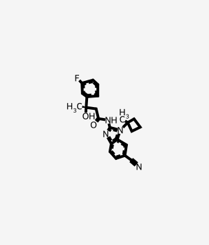 CC1(n2c(NC(=O)C[C@](C)(O)c3cccc(F)c3)nc3ccc(C#N)cc32)CCC1